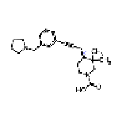 CC1(C)CN(C(=O)O)CC/C1=C\C#Cc1cccc(CN2CCCC2)c1